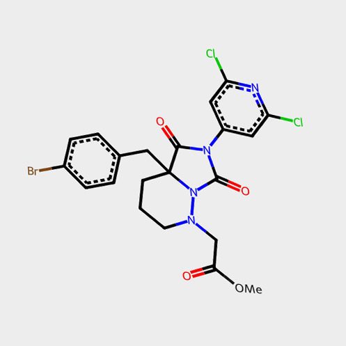 COC(=O)CN1CCCC2(Cc3ccc(Br)cc3)C(=O)N(c3cc(Cl)nc(Cl)c3)C(=O)N12